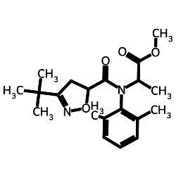 COC(=O)C(C)N(C(=O)C1CC(C(C)(C)C)=NO1)c1c(C)cccc1C